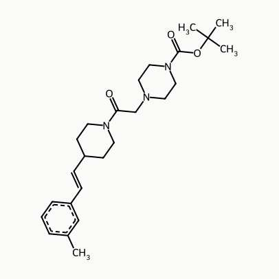 Cc1cccc(/C=C/C2CCN(C(=O)CN3CCN(C(=O)OC(C)(C)C)CC3)CC2)c1